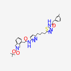 Cc1cccc(CC(=O)Nc2nnc(CCCCc3ccc(NC(=O)Cc4cccc5c4CN(C(=O)OC(C)(C)C)C5)nn3)s2)c1